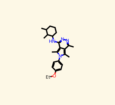 CCOc1ccc(-n2c(C)c3c(C)nnc(NC4CCCC(C)C4C)c3c2C)cc1